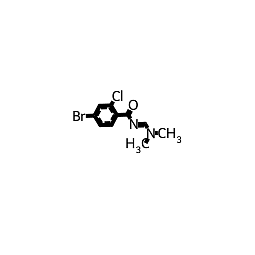 CN(C)/C=N/C(=O)c1ccc(Br)cc1Cl